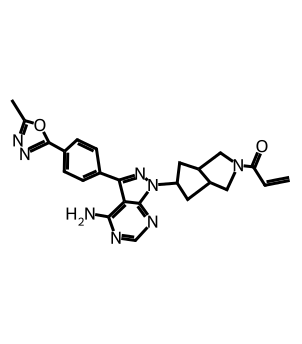 C=CC(=O)N1CC2CC(n3nc(-c4ccc(-c5nnc(C)o5)cc4)c4c(N)ncnc43)CC2C1